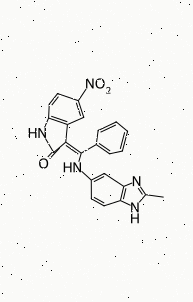 Cc1nc2cc(N/C(=C3\C(=O)Nc4ccc([N+](=O)[O-])cc43)c3ccccc3)ccc2[nH]1